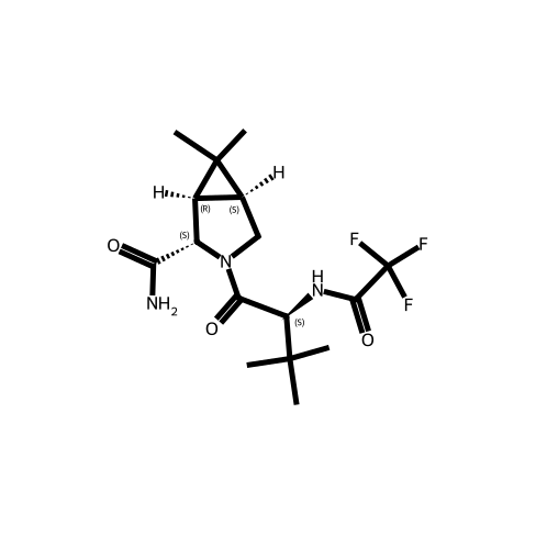 CC(C)(C)[C@H](NC(=O)C(F)(F)F)C(=O)N1C[C@H]2[C@@H]([C@H]1C(N)=O)C2(C)C